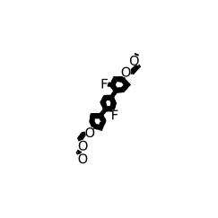 CO/C=C\Oc1ccc(-c2ccc(-c3ccc(O/C=C\OC=O)cc3)c(F)c2)c(F)c1